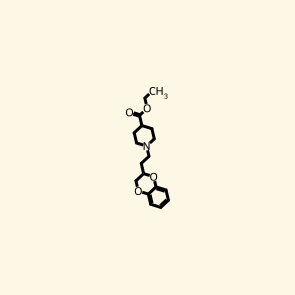 CCOC(=O)C1CCN(CCC2COc3ccccc3O2)CC1